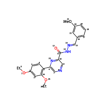 CCOc1ccc(-c2cncc(C(=O)NN=Cc3cccc(OC)c3)n2)c(OCC)c1